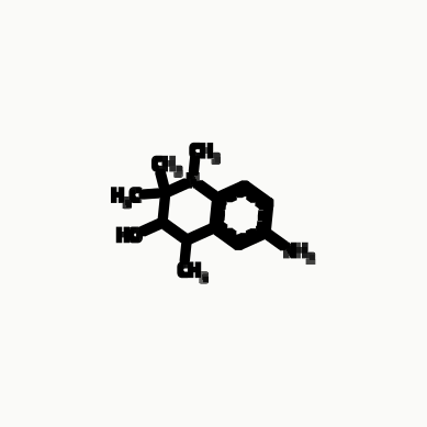 CC1c2cc(N)ccc2N(C)C(C)(C)C1O